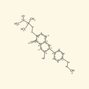 C[S+]([O-])C(C)(C)CCn1cnc2cc(-c3ccc(CCO)cc3)c(F)cc2c1=O